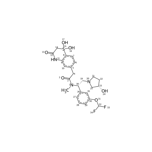 CN(C(=O)Cc1ccc2c(c1)NC(=O)CS2(O)O)[C@H](CN1CC[C@H](O)C1)c1cccc(OC(F)F)c1